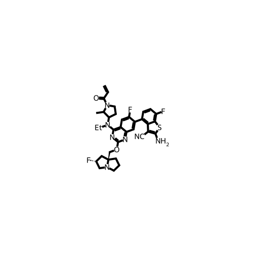 C=CC(=O)N1CCC(N(CC)c2nc(OC[C@@]34CCCN3C[C@H](F)C4)nc3cc(-c4ccc(F)c5sc(N)c(C#N)c45)c(F)cc23)C1C